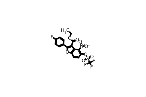 CCOC(=O)c1c(-c2ccc(F)cc2)oc2ccc(OS(=O)(=O)C(F)(F)F)c([N+](=O)[O-])c12